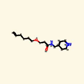 C=CCCCCOCCC(=O)NCC1CCNCC1